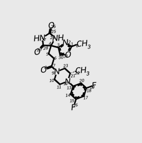 Cc1nc(C2(CCC(=O)N3CCN(c4cc(F)cc(F)c4)[C@@H](C)C3)NC(=O)NC2=O)co1